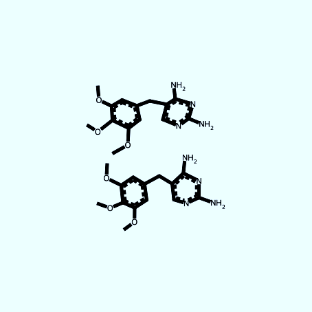 COc1cc(Cc2cnc(N)nc2N)cc(OC)c1OC.COc1cc(Cc2cnc(N)nc2N)cc(OC)c1OC